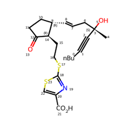 CCCCC#C[C@@](C)(O)CC=C[C@H]1CCC(=O)[C@@H]1CCSc1nc(C(=O)O)cs1